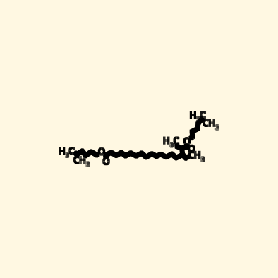 CCC(CCCCCCCCCCCCCCC(=O)OCCCCC(C)C)C(CC)C(=O)OCCCCC(C)C